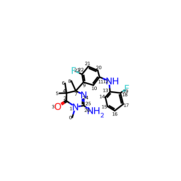 CN1C(=O)C(C)(C)C(C)(c2cc(Nc3ccccc3F)ccc2F)N=C1N